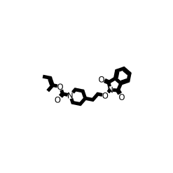 C/C=C(\C)OC(=O)N1CCC(CCON2C(=O)c3ccccc3C2=O)CC1